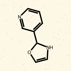 [c]1ncccc1C1NC=CO1